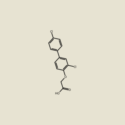 O=C(O)COc1ccc(-c2ccc(Cl)cc2)cc1Cl